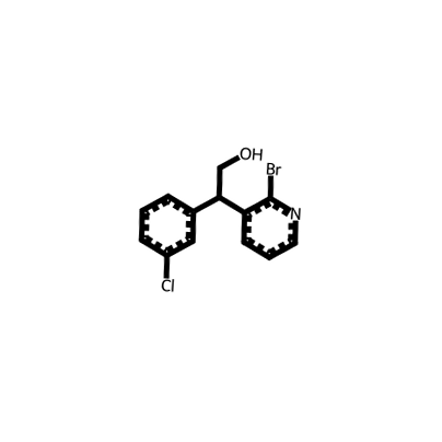 OCC(c1cccc(Cl)c1)c1cccnc1Br